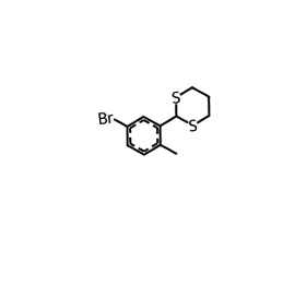 Cc1ccc(Br)cc1C1SCCCS1